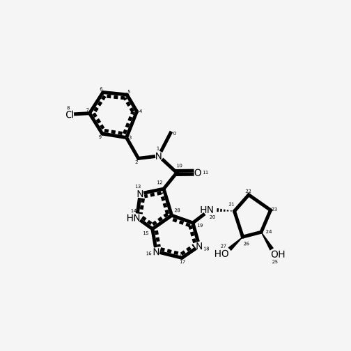 CN(Cc1cccc(Cl)c1)C(=O)c1n[nH]c2ncnc(N[C@@H]3CC[C@@H](O)[C@H]3O)c12